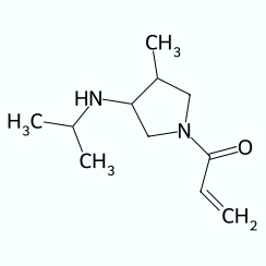 C=CC(=O)N1CC(C)C(NC(C)C)C1